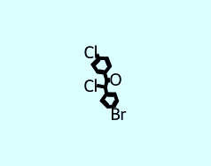 O=C(c1ccc(Cl)cc1)C(Cl)c1ccc(Br)cc1